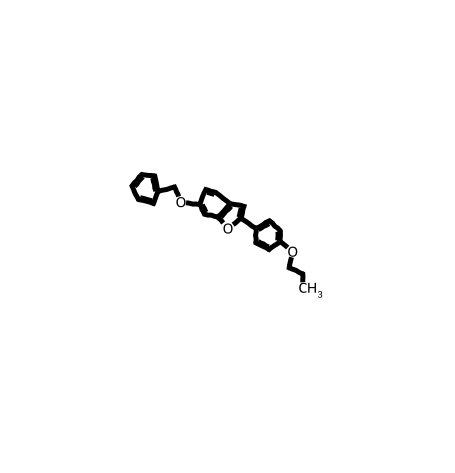 CCCOc1ccc(-c2cc3ccc(OCc4ccccc4)cc3o2)cc1